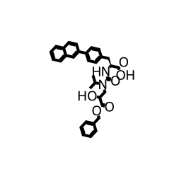 CC(C)N(CC(O)C(=O)OCc1ccccc1)C(=O)N[C@@H](Cc1ccc(-c2ccc3ccccc3c2)cc1)C(=O)O